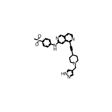 CS(=O)(=O)c1ccc(Nc2cc3c(C#CC4CCN(Cc5cn[nH]c5)CC4)nccc3cn2)cc1